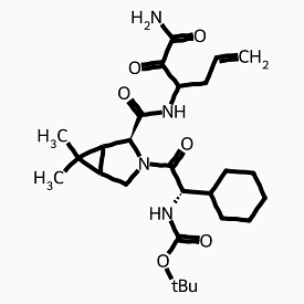 C=CCC(NC(=O)[C@@H]1C2C(CN1C(=O)[C@@H](NC(=O)OC(C)(C)C)C1CCCCC1)C2(C)C)C(=O)C(N)=O